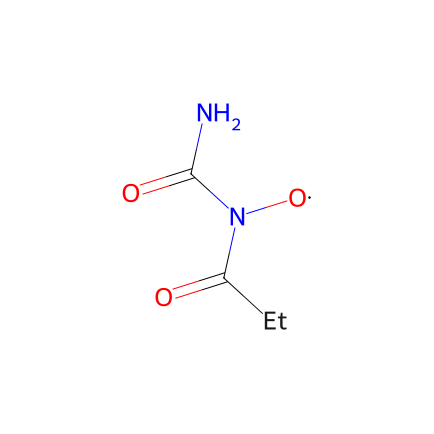 [CH2]CC(=O)N([O])C(N)=O